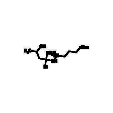 CCCCCCCCCCCCNNC(CC)(CC(C)O)S(=O)(=O)O